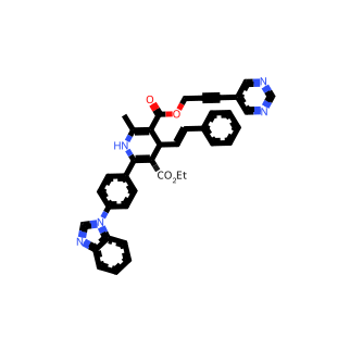 CCOC(=O)C1=C(c2ccc(-n3cnc4ccccc43)cc2)NC(C)=C(C(=O)OCC#Cc2cncnc2)C1/C=C/c1ccccc1